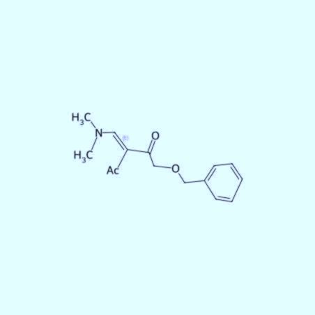 CC(=O)/C(=C\N(C)C)C(=O)COCc1ccccc1